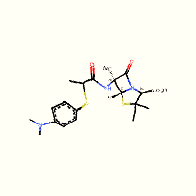 CC(Sc1ccc(N(C)C)cc1)C(=O)N[C@@]1(C#N)C(=O)N2[C@@H](C(=O)O)C(C)(C)S[C@@H]21